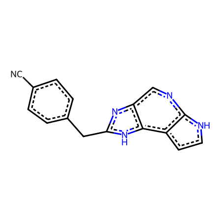 N#Cc1ccc(Cc2nc3cnc4[nH]ccc4c3[nH]2)cc1